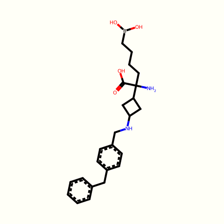 NC(CCCCB(O)O)(C(=O)O)C1CC(NCc2ccc(Cc3ccccc3)cc2)C1